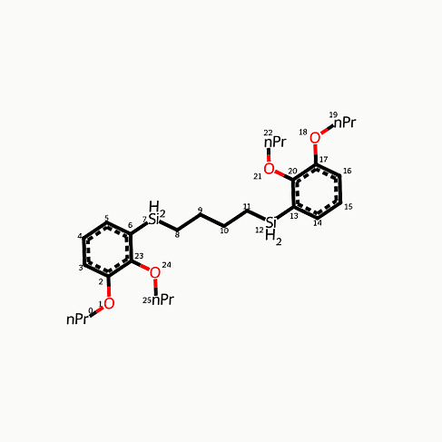 CCCOc1cccc([SiH2]CCCC[SiH2]c2cccc(OCCC)c2OCCC)c1OCCC